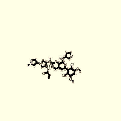 C=CC(=O)N[C@H]1CN(c2cnn(C)c2)C[C@H]1Nc1ncc2cc(-c3c(Cl)c(OC)cc(OC)c3Cl)nc(NC3CCOC3)c2n1